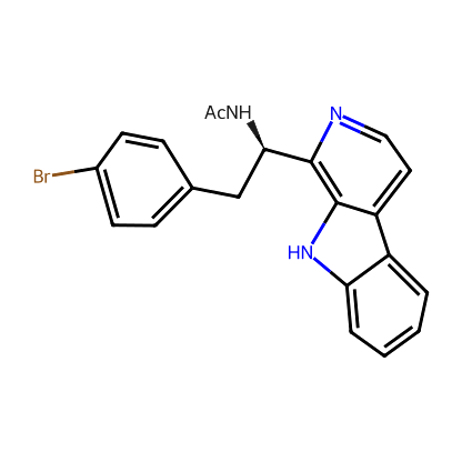 CC(=O)N[C@H](Cc1ccc(Br)cc1)c1nccc2c1[nH]c1ccccc12